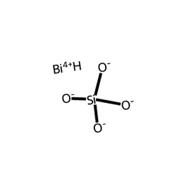 [BiH+4].[O-][Si]([O-])([O-])[O-]